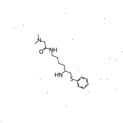 CN(C)CC(=O)NCCCCC([NH])CSc1ccccc1